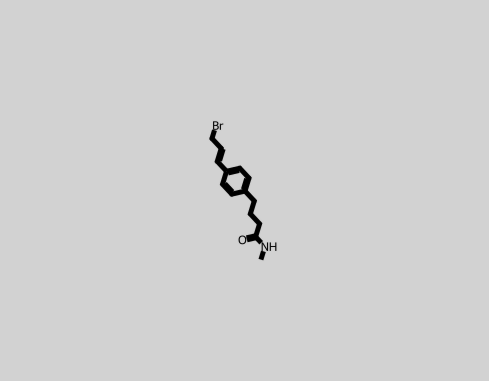 CNC(=O)CCCc1ccc(C=CCBr)cc1